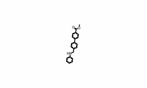 COC(=O)c1ccc(-c2ccc(CNc3ccccc3)cc2)cc1